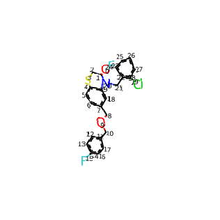 O=C1CSc2ccc(COCc3ccc(F)cc3)cc2N1Cc1c(F)cccc1Cl